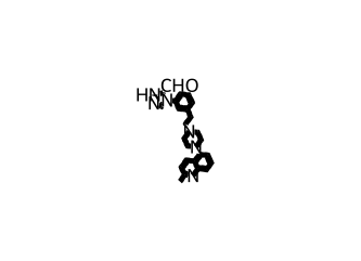 Cc1ccc2c(N3CCN(CCc4cccc(N5C=NNC5C=O)c4)CC3)cccc2n1